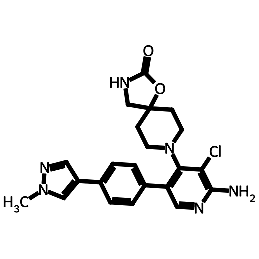 Cn1cc(-c2ccc(-c3cnc(N)c(Cl)c3N3CCC4(CC3)CNC(=O)O4)cc2)cn1